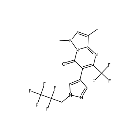 Cc1cn(C)n2c(=O)c(-c3cnn(CC(F)(F)C(F)(F)F)c3)c(C(F)(F)F)nc12